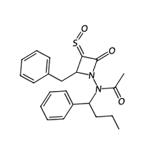 CCCC(c1ccccc1)N(C(C)=O)N1C(=O)C(=S=O)C1Cc1ccccc1